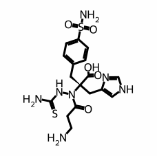 NCCC(=O)N(NC(N)=S)[C@@](Cc1ccc(S(N)(=O)=O)cc1)(Cc1c[nH]cn1)C(=O)O